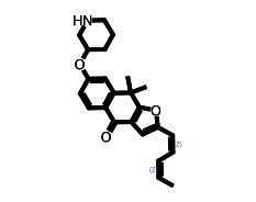 C/C=C\C=C/c1cc2c(o1)C(C)(C)c1cc(OC3CCCNC3)ccc1C2=O